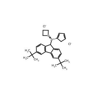 CC(C)(C)c1ccc2c(c1)-c1cc(C(C)(C)C)ccc1[CH]2[Zr+2]([C]1=CC=CC1)=[Si]1CCC1.[Cl-].[Cl-]